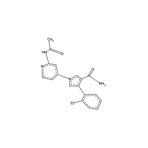 CC(=O)Nc1cc(-n2cc(C(N)=O)c(-c3ccccc3Cl)c2)ccn1